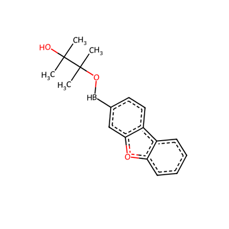 CC(C)(O)C(C)(C)OBc1ccc2c(c1)oc1ccccc12